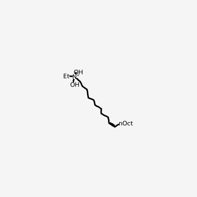 CCCCCCCC/C=C\CCCCCCCCC[N+](O)(O)CC